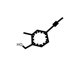 CC#Cc1ccc(CO)c(C)c1